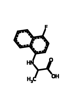 CC(Nc1ccc(F)c2ccccc12)C(=O)O